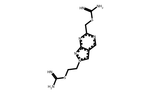 N=C(N)SCCn1cc2cnc(CSC(=N)N)nc2n1